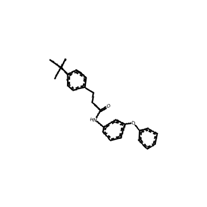 CC(C)(C)c1ccc(CCC(=O)Nc2cccc(Oc3ccccc3)c2)cc1